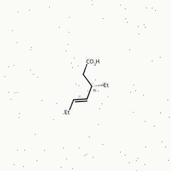 CC/C=C/[C@@H](CC)CC(=O)O